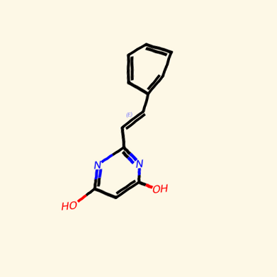 Oc1cc(O)nc(/C=C/c2ccccc2)n1